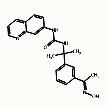 C/C(=N\O)c1cccc(C(C)(C)NC(=O)Nc2ccc3cccnc3c2)c1